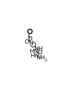 NNC(=O)NNC1CCN(C(=O)OCc2ccccc2)CC1